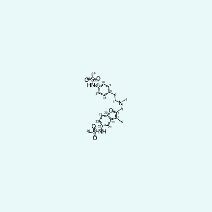 Cc1c(CN(C)CCc2ccc(NS(C)(=O)=O)cc2)oc2ccc(NS(C)(=O)=O)cc12